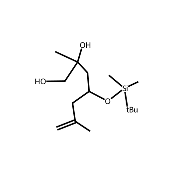 C=C(C)CC(CC(C)(O)CO)O[Si](C)(C)C(C)(C)C